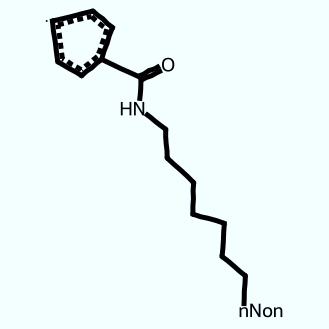 CCCCCCCCCCCCCCCCNC(=O)c1cc[c]cc1